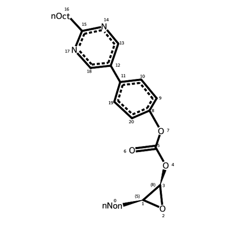 CCCCCCCCC[C@@H]1O[C@@H]1OC(=O)Oc1ccc(-c2cnc(CCCCCCCC)nc2)cc1